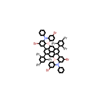 CC(C)c1cc(C(C)C)c(-c2cc3c4c(cc5c(-c6c(C(C)C)cc(C(C)C)cc6C(C)C)cc6c7c(cc2c4c57)B2c4ccc(Br)cc4N(c4ccccc4)c4cc(Br)cc-6c42)B2c4ccc(Br)cc4N(c4ccccc4)c4cc(Br)cc-3c42)c(C(C)C)c1